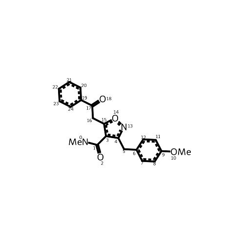 CNC(=O)c1c(Cc2ccc(OC)cc2)noc1CC(=O)c1ccccc1